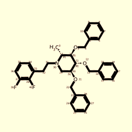 C[C@@H]1[C@@H](OCc2ccccc2)[C@H](OCc2ccccc2)[C@@H](OCc2ccccc2)CN1CCc1cccc(F)c1F